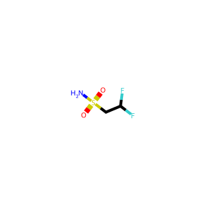 NS(=O)(=O)CC(F)F